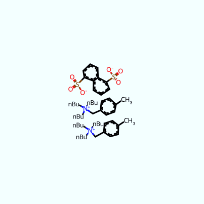 CCCC[N+](CCCC)(CCCC)Cc1ccc(C)cc1.CCCC[N+](CCCC)(CCCC)Cc1ccc(C)cc1.O=S(=O)([O-])c1cccc2c(S(=O)(=O)[O-])cccc12